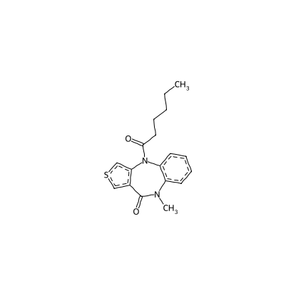 CCCCCC(=O)N1c2cscc2C(=O)N(C)c2ccccc21